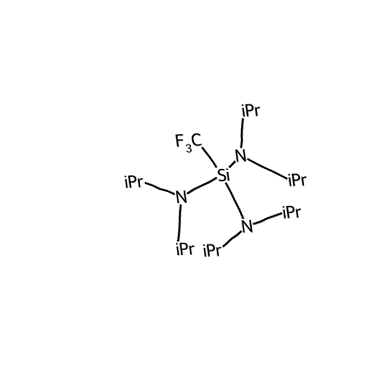 CC(C)N(C(C)C)[Si](N(C(C)C)C(C)C)(N(C(C)C)C(C)C)C(F)(F)F